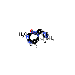 Cc1cc2cc(n1)-c1cnn(C)c1-c1cccc(c1)C(C)CN1/C(=N/C2=O)Nc2ccc(CN3CCN(C)CC3)cc21